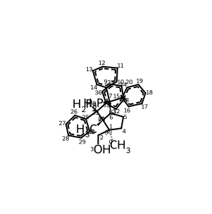 C[C@@]1(CO)CC[C@H](C(P)(c2ccccc2)c2ccccc2)[C@@]1(C)C(P)(c1ccccc1)c1ccccc1